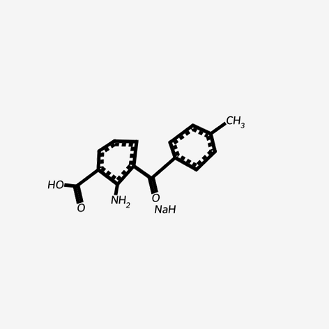 Cc1ccc(C(=O)c2cccc(C(=O)O)c2N)cc1.[NaH]